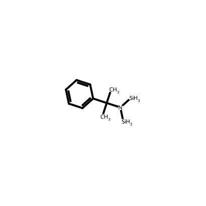 CC(C)(c1ccccc1)N([SiH3])[SiH3]